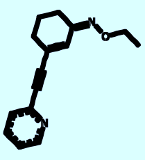 CCON=C1C=C(C#Cc2ccccn2)CCC1